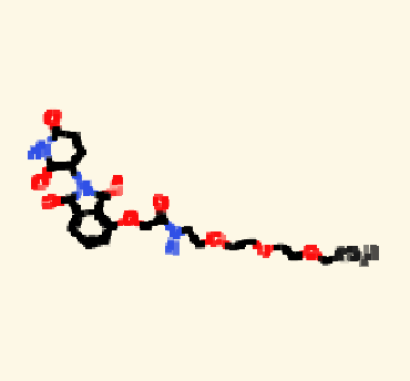 O=C(O)COCCOCCOCCNC(=O)COc1cccc2c1C(=O)N(C1CCC(=O)NC1=O)C2=O